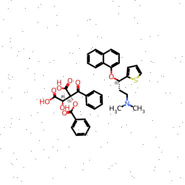 CN(C)CC[C@H](Oc1cccc2ccccc12)c1cccs1.O=C(O[C@](C(=O)O)(C(=O)c1ccccc1)[C@@H](O)C(=O)O)c1ccccc1